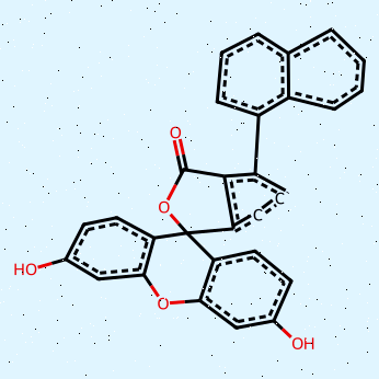 O=C1OC2(c3ccc(O)cc3Oc3cc(O)ccc32)c2cccc(-c3cccc4ccccc34)c21